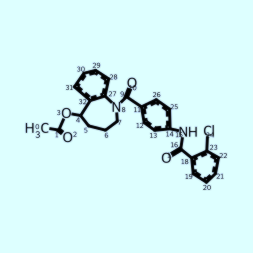 CC(=O)OC1CCCN(C(=O)c2ccc(NC(=O)c3ccccc3Cl)cc2)c2ccccc21